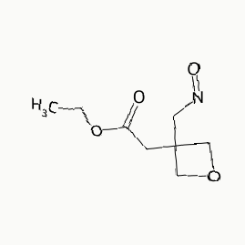 CCOC(=O)CC1(CN=O)COC1